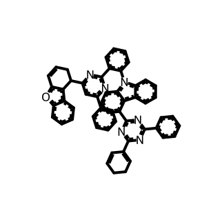 C1=CC(c2nc(-c3ccccc3)nc(-c3cccc4c3c3ccccc3n4-c3ccccc3-c3nc(-c4ccccc4)cc(C4CC=Cc5oc6ccccc6c54)n3)n2)=CCC1